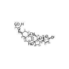 C[C@]12CCC(=NOCC(=O)O)C=C1CCC1C2CC[C@]2(C)[C@@H](c3ccc(=O)oc3)CC[C@]12O